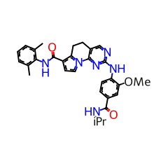 COc1cc(C(=O)NC(C)C)ccc1Nc1ncc2c(n1)-n1ccc(C(=O)Nc3c(C)cccc3C)c1CC2